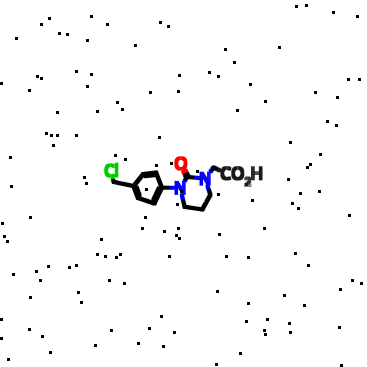 O=C(O)CN1CCCN(c2ccc(CCl)cc2)C1=O